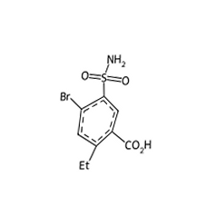 CCc1cc(Br)c(S(N)(=O)=O)cc1C(=O)O